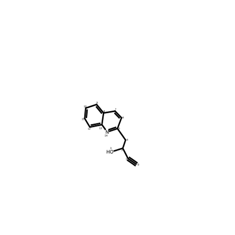 C#CC(O)Cc1ccc2ccccc2n1